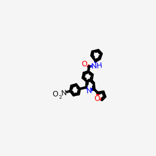 O=C(Nc1ccccc1)c1ccc2c(-c3ccc([N+](=O)[O-])cc3)nc(-c3ccco3)cc2c1